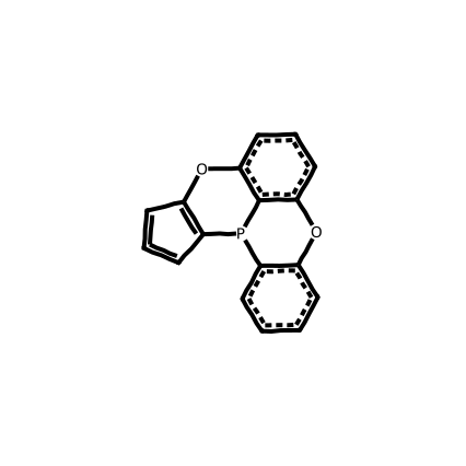 C1=CC2=C(C=1)P1c3ccccc3Oc3cccc(c31)O2